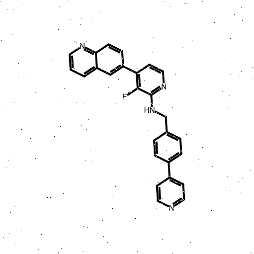 Fc1c(-c2ccc3ncccc3c2)ccnc1NCc1ccc(-c2ccncc2)cc1